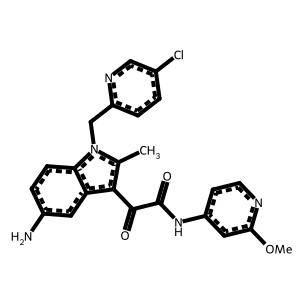 COc1cc(NC(=O)C(=O)c2c(C)n(Cc3ccc(Cl)cn3)c3ccc(N)cc23)ccn1